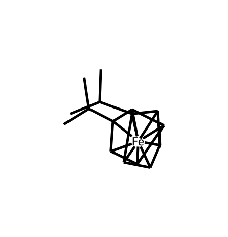 CC(C)[C]12[CH]3[CH]4[CH]5[CH]1[Fe]45321678[CH]2[CH]1[CH]6[C]7(C(C)C)[CH]28